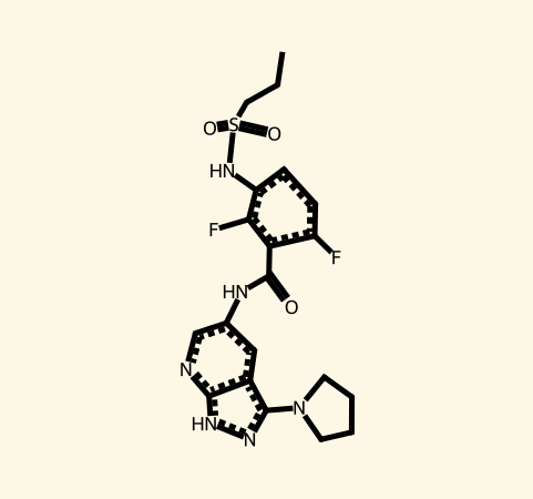 CCCS(=O)(=O)Nc1ccc(F)c(C(=O)Nc2cnc3[nH]nc(N4CCCC4)c3c2)c1F